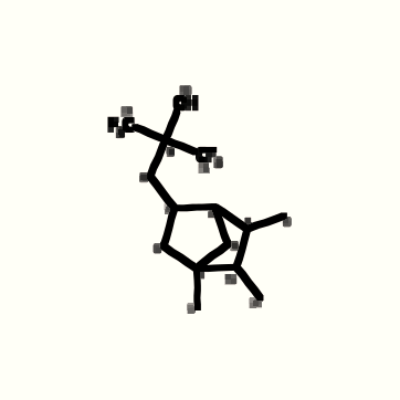 CC1C2CC(C)(CC2CC(O)(C(F)(F)F)C(F)(F)F)C1C